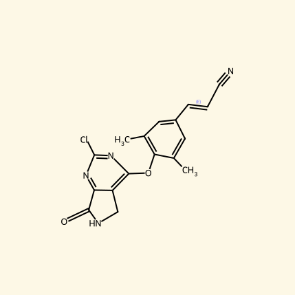 Cc1cc(/C=C/C#N)cc(C)c1Oc1nc(Cl)nc2c1CNC2=O